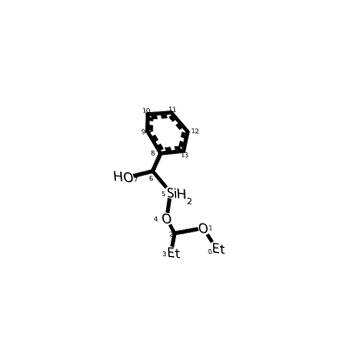 CCOC(CC)O[SiH2]C(O)c1ccccc1